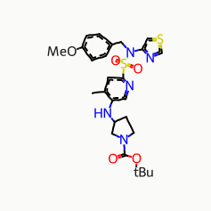 COc1ccc(CN(c2cscn2)S(=O)(=O)c2cc(C)c(NC3CCN(C(=O)OC(C)(C)C)C3)cn2)cc1